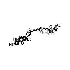 CCc1cc2c(cc1N1CCN(C(=O)CCCCc3cn(CCC[C@H](N)C(=O)N[C@H]4CN(C(C)=O)CC4(C)C)c(N)n3)CC1)C(C)(C)c1[nH]c3cc(C#N)ccc3c1C2=O